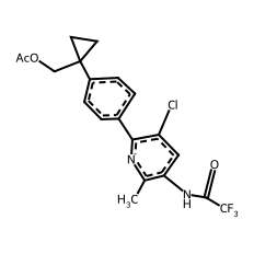 CC(=O)OCC1(c2ccc(-c3nc(C)c(NC(=O)C(F)(F)F)cc3Cl)cc2)CC1